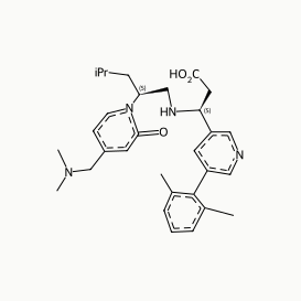 Cc1cccc(C)c1-c1cncc([C@H](CC(=O)O)NC[C@H](CC(C)C)n2ccc(CN(C)C)cc2=O)c1